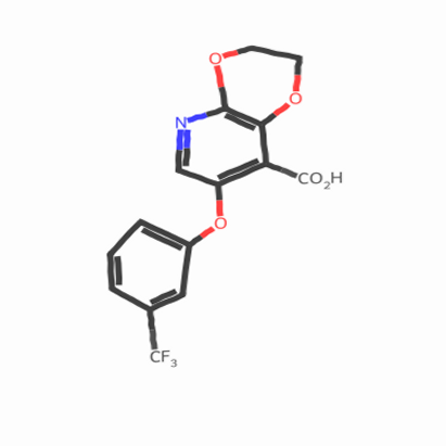 O=C(O)c1c(Oc2cccc(C(F)(F)F)c2)cnc2c1OCCO2